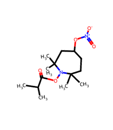 CC(C)C(=O)ON1C(C)(C)CCC(O[N+](=O)[O-])CC1(C)C